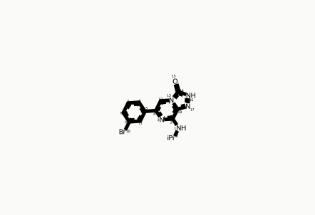 CC(C)Nc1nc(-c2cccc(Br)c2)cn2c(=O)[nH]nc12